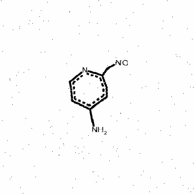 Nc1ccnc(N=O)c1